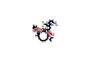 CCC(C)N(C(=O)O)[C@H]1CCCCC/C=C\[C@@H]2C[C@@]2(C(=O)NS(=O)(=O)C2(C)CC2)NC(=O)[C@@H]2C[C@]3(CCc4c(c(C(F)F)nc5ccc(OC)nc45)O3)CN2C1=O